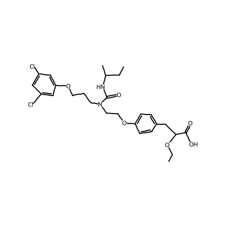 CCOC(Cc1ccc(OCCN(CCCOc2cc(Cl)cc(Cl)c2)C(=O)NC(C)CC)cc1)C(=O)O